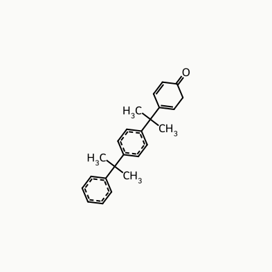 CC(C)(C1=CCC(=O)C=C1)c1ccc(C(C)(C)c2ccccc2)cc1